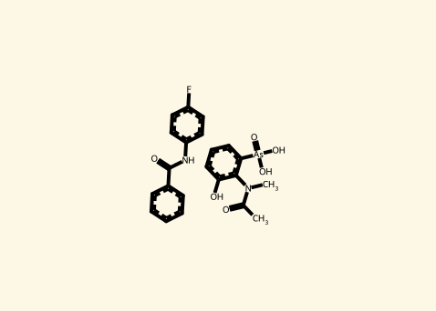 CC(=O)N(C)c1c(O)cccc1[As](=O)(O)O.O=C(Nc1ccc(F)cc1)c1ccccc1